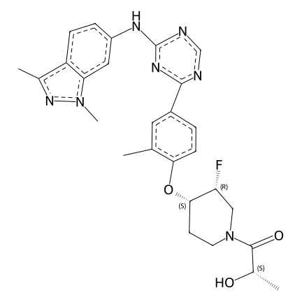 Cc1cc(-c2ncnc(Nc3ccc4c(C)nn(C)c4c3)n2)ccc1O[C@H]1CCN(C(=O)[C@H](C)O)C[C@H]1F